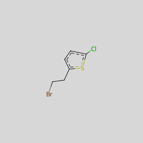 Clc1ccc(CCBr)s1